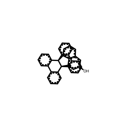 Oc1cc2c3c(cccc3c1)C13c4ccccc4-c4ccccc4C21c1ccccc1-c1ccccc13